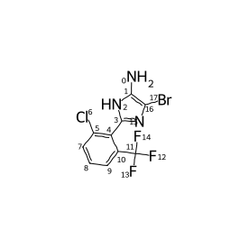 Nc1[nH]c(-c2c(Cl)cccc2C(F)(F)F)nc1Br